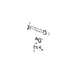 [Ag].[InH3].[O]=[Zn]